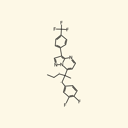 CC[CH]C(C)([CH]c1ccc(F)c(F)c1)c1ccnc2c(-c3ccc(C(F)(F)F)cc3)cnn12